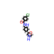 O=C(NCc1ccc([C@H]2CNCCO2)cc1)c1ccc(Cl)cc1